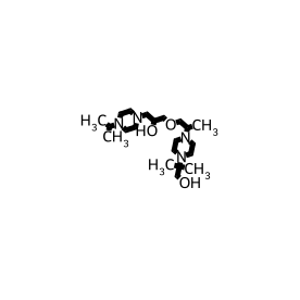 CC(C)N1CCN(CC(O)COCC(C)N2CCN(C(C)(C)CO)CC2)CC1